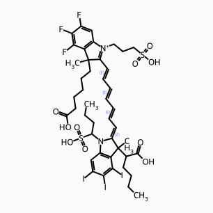 CCCCC(C(=O)O)C1(C)/C(=C/C=C/C=C/C=C/C2=[N+](CCCS(=O)(=O)O)c3cc(F)c(F)c(F)c3C2(C)CCCCCC(=O)O)N(C(CCC)S(=O)(=O)O)c2cc(I)c(I)c(I)c21